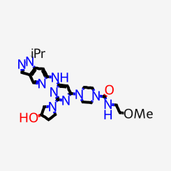 COCCNC(=O)N1CCN(c2cc(Nc3cc4c(cn3)cnn4C(C)C)nc(N3CCC(O)C3)n2)CC1